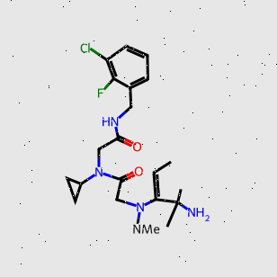 C/C=C(/N(CC(=O)N(CC(=O)NCc1cccc(Cl)c1F)C1CC1)NC)C(C)(C)N